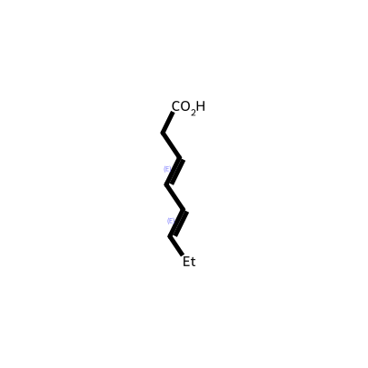 CC/C=C/C=C/CC(=O)O